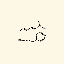 CC=CC=CC(=O)O.OCCOc1ccccc1